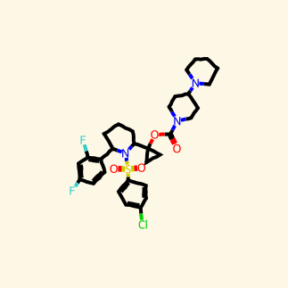 O=C(OC1(C2CCCC(c3ccc(F)cc3F)N2S(=O)(=O)c2ccc(Cl)cc2)CC1)N1CCC(N2CCCCC2)CC1